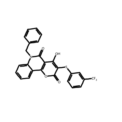 O=c1oc2c(c(O)c1Sc1cccc(C(F)(F)F)c1)c(=O)n(Cc1ccccc1)c1ccccc21